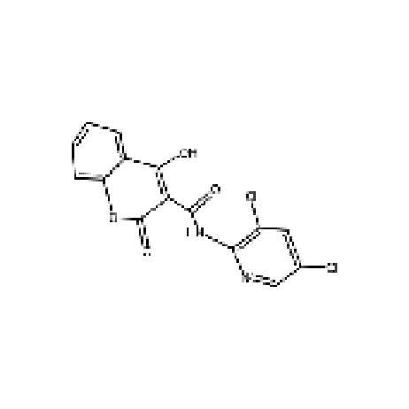 O=C(Nc1ncc(Cl)cc1Cl)c1c(O)c2ccccc2oc1=O